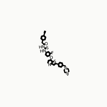 C#Cc1ccc(CC(=O)NC(=S)Nc2ccc(Oc3ccnc4cc(-c5ccc(CN6CCN(C)CC6)cc5)sc34)c(F)c2)cc1